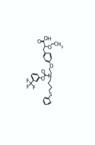 CCOC(Cc1ccc(OCCN(CCCCSc2ccccc2)C(=O)Oc2cccc(C(F)(F)F)c2)cc1)C(=O)O